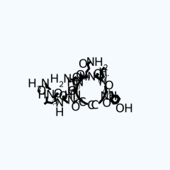 CC[C@H](C)[C@@H]1NC(=O)[C@H](Cc2ccc(O)cc2)NC(=O)CCCCC[C@@H](C(=O)NCC(=O)N[C@@H](CC(C)C)C(=O)NCC(N)=O)NC(=O)[C@@H](CC(N)=O)NC(=O)[C@@H](CCC(N)=O)NC1=O